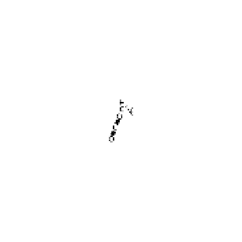 C.O=C=O.[N]